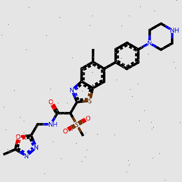 Cc1nnc(CNC(=O)C(c2nc3cc(C)c(-c4ccc(N5CCNCC5)cc4)cc3s2)S(C)(=O)=O)o1